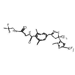 Cc1cc(C2=NSC(c3cc(C(F)(F)F)nn3C)(C(F)(F)F)C2)cc(C)c1C(=O)NCC(=O)NCC(C)(F)F